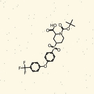 CC(C)(C)OC(=O)N1CCC(S(=O)(=O)c2ccc(Oc3ccc(C(F)(F)F)cc3)cc2)CC1C(=O)O